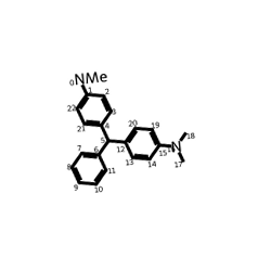 CNc1ccc(C(c2ccccc2)c2ccc(N(C)C)cc2)cc1